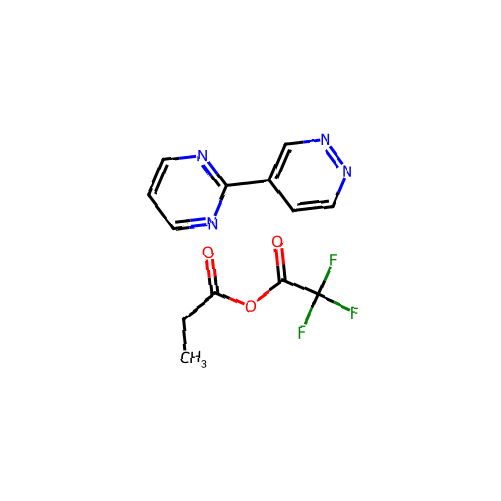 CCC(=O)OC(=O)C(F)(F)F.c1cnc(-c2ccnnc2)nc1